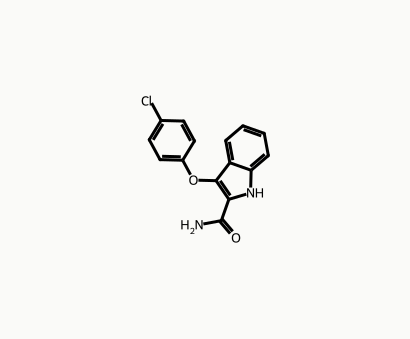 NC(=O)c1[nH]c2ccccc2c1Oc1ccc(Cl)cc1